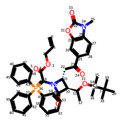 C=CCOC(=O)C(N1C(=O)[C@H](C(C)O[Si](C)(C)C(C)(C)C)[C@H]1CC(=O)c1ccc2c(c1)oc(=O)n2C)=P(c1ccccc1)(c1ccccc1)c1ccccc1